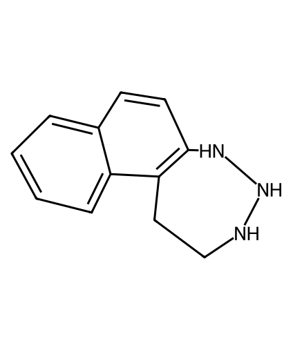 c1ccc2c3c(ccc2c1)NNNCC3